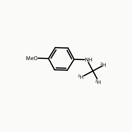 [2H]C([2H])([2H])Nc1ccc(OC)cc1